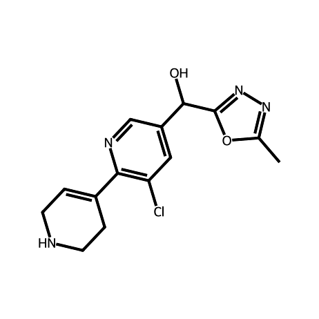 Cc1nnc(C(O)c2cnc(C3=CCNCC3)c(Cl)c2)o1